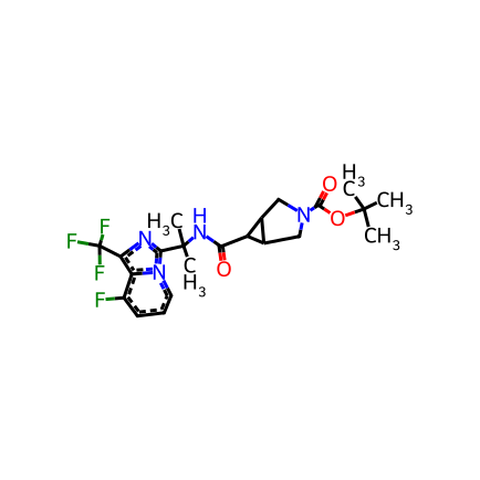 CC(C)(C)OC(=O)N1CC2C(C1)C2C(=O)NC(C)(C)c1nc(C(F)(F)F)c2c(F)cccn12